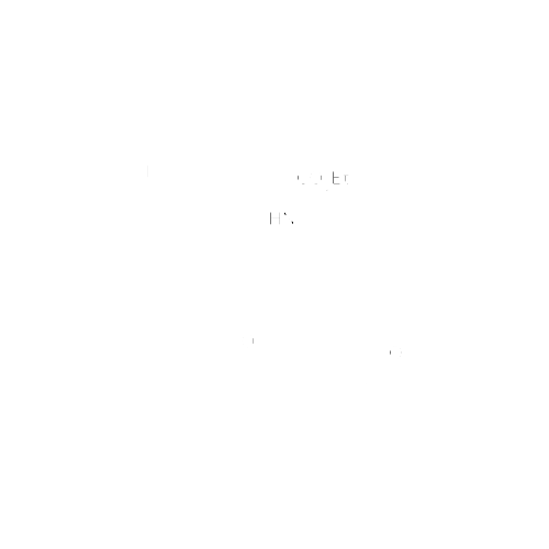 [CH2]COC(=O)Nc1ccc2occc2c1C(=O)c1ccc(I)cc1